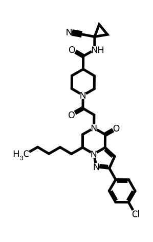 CCCCCC1CN(CC(=O)N2CCC(C(=O)NC3(C#N)CC3)CC2)C(=O)c2cc(-c3ccc(Cl)cc3)nn21